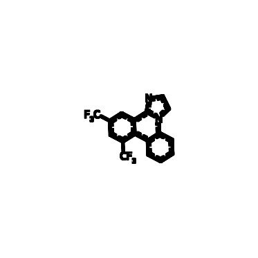 FC(F)(F)c1cc(C(F)(F)F)c2c3ccccc3n3ccnc3c2c1